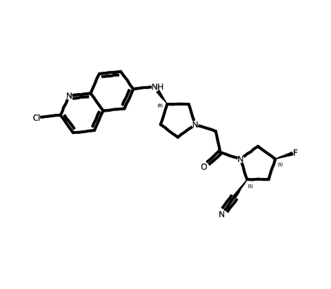 N#C[C@@H]1C[C@H](F)CN1C(=O)CN1CC[C@@H](Nc2ccc3nc(Cl)ccc3c2)C1